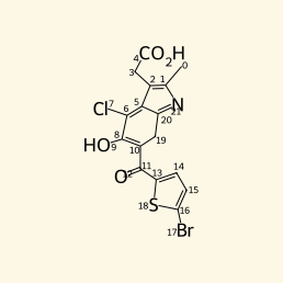 CC1=C(CC(=O)O)C2=C(Cl)C(O)=C(C(=O)c3ccc(Br)s3)CC2=N1